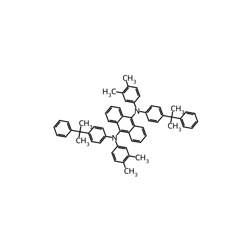 Cc1ccc(N(c2ccc(C(C)(C)c3ccccc3)cc2)c2c3ccccc3c(N(c3ccc(C(C)(C)c4ccccc4)cc3)c3ccc(C)c(C)c3)c3ccccc23)cc1C